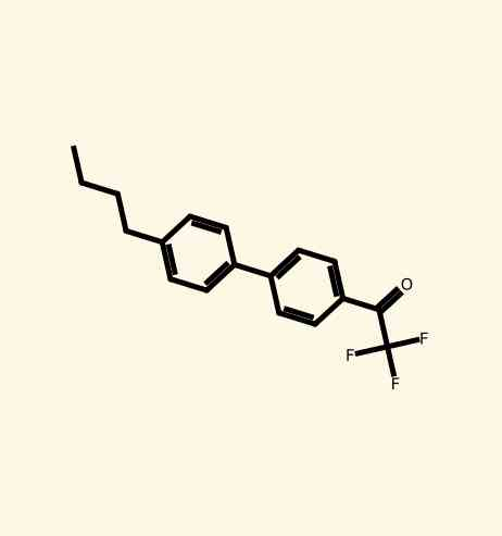 CCCCc1ccc(-c2ccc(C(=O)C(F)(F)F)cc2)cc1